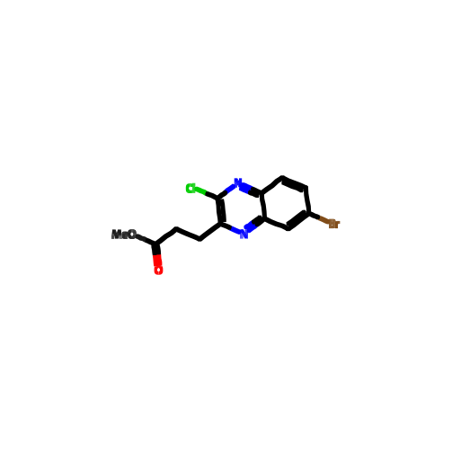 COC(=O)CCc1nc2cc(Br)ccc2nc1Cl